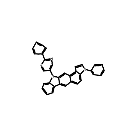 c1ccc(-c2ncc(-n3c4ccccc4c4cc5ccc6c(ccn6-c6ccccc6)c5cc43)cn2)cc1